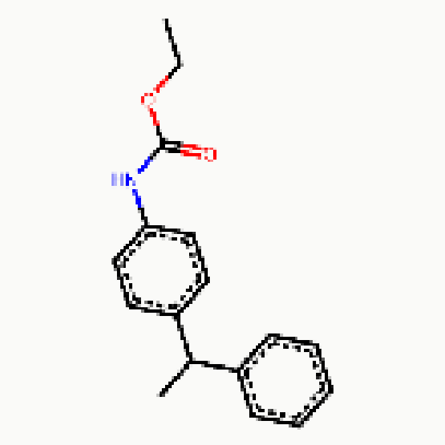 CCOC(=O)Nc1ccc(C(C)c2ccccc2)cc1